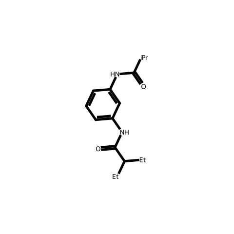 CCC(CC)C(=O)Nc1cccc(NC(=O)C(C)C)c1